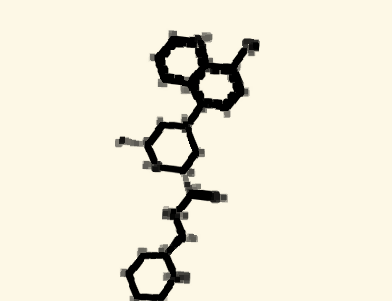 C[C@@H]1CN(c2ccc(C#N)c3ncccc23)C[C@H](C(=O)NC[C@@H]2CCCCN2)O1